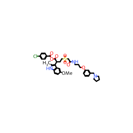 COc1ccc2[nH]c(C)c(C(CCS(=O)(=O)CC(=O)NCCCOc3cccc(CN4CCCC4)c3)C(=O)OC(=O)c3ccc(Cl)cc3)c2c1